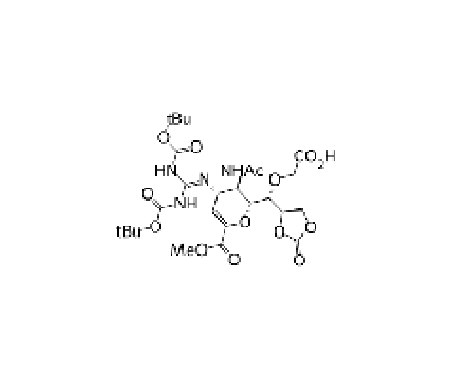 COC(=O)C1=C[C@H](N=C(NC(=O)OC(C)(C)C)NC(=O)OC(C)(C)C)[C@@H](NC(C)=O)[C@H]([C@H](OCC(=O)O)[C@H]2COC(=O)O2)O1